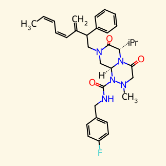 C=C(/C=C\C=C/C)C(CN1C[C@H]2N(C(=O)CN(C)N2C(=O)NCc2ccc(F)cc2)[C@@H](C(C)C)C1=O)c1ccccc1